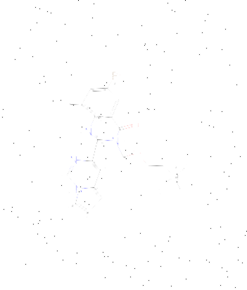 Cc1cc(Br)cc2c(=O)n(COCC[Si](C)(C)C)c(-c3cc4cccn4cn3)nc12